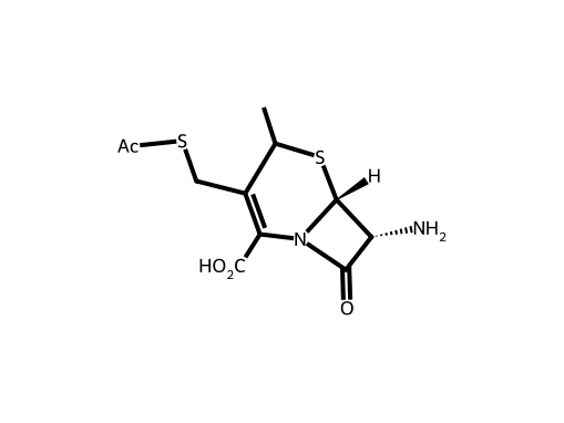 CC(=O)SCC1=C(C(=O)O)N2C(=O)[C@@H](N)[C@H]2SC1C